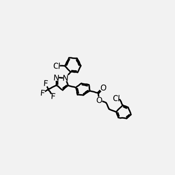 O=C(OCCc1ccccc1Cl)c1ccc(-c2cc(C(F)(F)F)nn2-c2ccccc2Cl)cc1